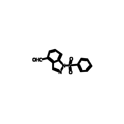 O=Cc1cccc2c1cnn2S(=O)(=O)c1ccccc1